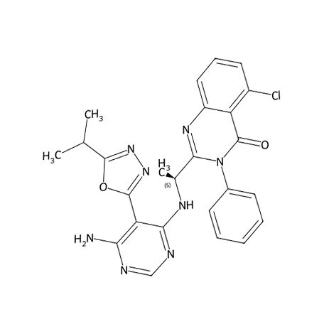 CC(C)c1nnc(-c2c(N)ncnc2N[C@@H](C)c2nc3cccc(Cl)c3c(=O)n2-c2ccccc2)o1